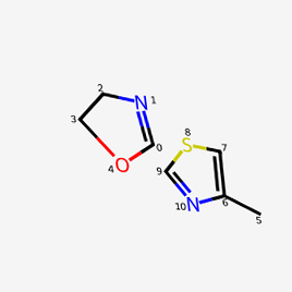 C1=NCCO1.Cc1cscn1